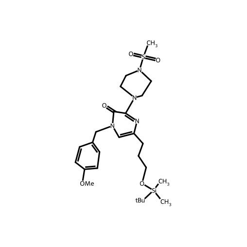 COc1ccc(Cn2cc(CCCO[Si](C)(C)C(C)(C)C)nc(N3CCN(S(C)(=O)=O)CC3)c2=O)cc1